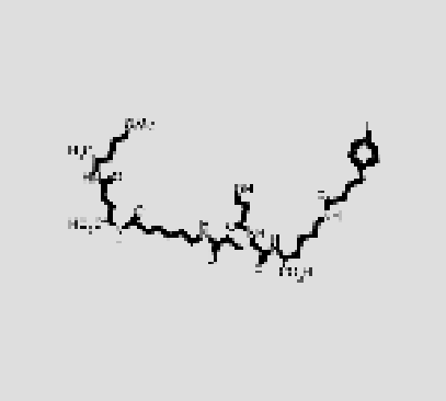 COCCC[C@@H](C)NC(=O)CC[C@H](NC(=O)CCCCCNC(=O)CC[C@H](NC(=O)CCO)C(=O)N[C@H](CCCCNC(=O)CCCc1ccc(I)cc1)C(=O)O)C(=O)O